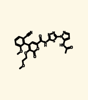 COCCOc1c(-c2c(C#N)cccc2OC)cc(C(=O)Nc2nnc(-n3nccc3NC(C)=O)s2)oc1=O